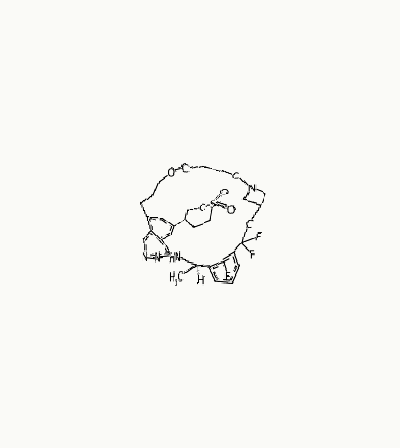 C[C@H]1Nc2nncc3c(cc(C4CCS(=O)(=O)CC4)cc23)CCCOCCCCN2CC(C2)CC(F)(F)c2cccc1c2F